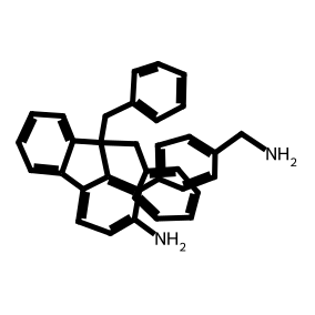 NCc1ccc(-c2c(N)ccc3c2C(Cc2ccccc2)(Cc2ccccc2)c2ccccc2-3)cc1